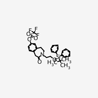 CC(C)(C)[Si](OCCN1CCc2cc(OS(=O)(=O)C(F)(F)F)ccc2CC1=O)(c1ccccc1)c1ccccc1